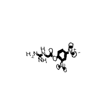 N=C(N)NCC(=O)Oc1ccc([N+](=O)[O-])cc1[N+](=O)[O-]